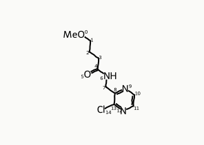 COCCCC(=O)NCc1nccnc1Cl